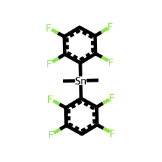 [CH3][Sn]([CH3])([c]1c(F)c(F)cc(F)c1F)[c]1c(F)c(F)cc(F)c1F